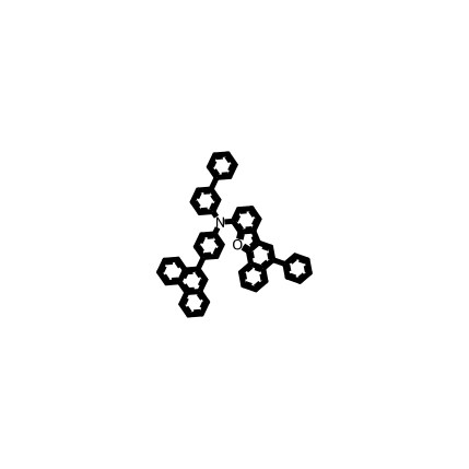 c1ccc(-c2cccc(N(c3ccc(-c4cc5ccccc5c5ccccc45)cc3)c3cccc4c3oc3c5ccccc5c(-c5ccccc5)cc43)c2)cc1